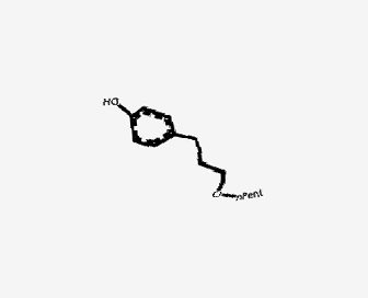 CCCCCOCCCc1ccc(O)cc1